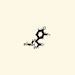 CC(C)NC[C@@H](C(=O)C(C)C)c1ccc(Cl)c(F)c1